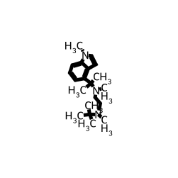 CN(CCN(C)C(C)(C)c1cccc2c1ccn2C)C(C)(C)C